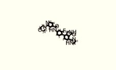 O=C(Nc1ccc(-c2ccc(-c3ncc[nH]3)c3c2CNC3=O)c(F)c1)c1ccnc(N2CCOCC2)c1